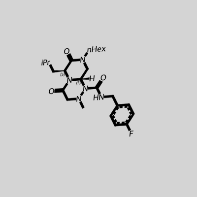 CCCCCCN1C[C@H]2N(C(=O)CN(C)N2C(=O)NCc2ccc(F)cc2)[C@@H](CC(C)C)C1=O